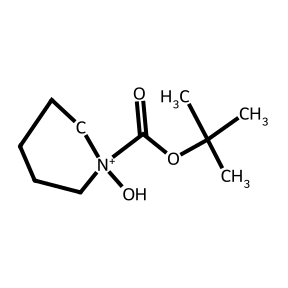 CC(C)(C)OC(=O)[N+]1(O)CCCCC1